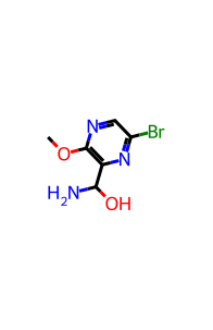 COc1ncc(Br)nc1C(N)O